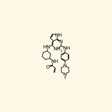 C=CC(=O)NC1CCCC(N/C(N)=C2\C=CN\C2=N\C(C)Nc2ccc(N3CCN(C)CC3)cc2)C1